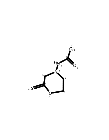 O=C(O)NN1CCOC(=S)C1